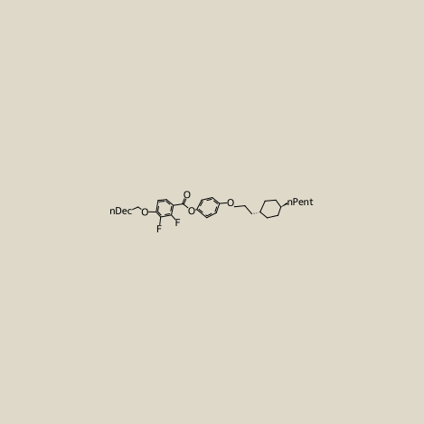 CCCCCCCCCCCOc1ccc(C(=O)Oc2ccc(OCCC[C@H]3CC[C@H](CCCCC)CC3)cc2)c(F)c1F